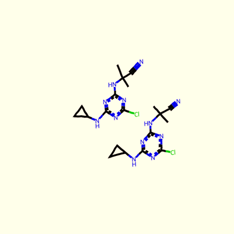 CC(C)(C#N)Nc1nc(Cl)nc(NC2CC2)n1.CC(C)(C#N)Nc1nc(Cl)nc(NC2CC2)n1